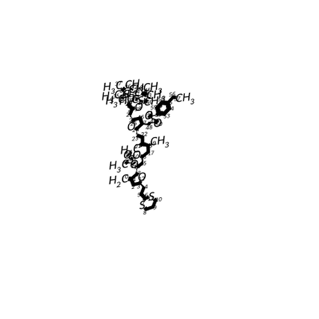 C=C1C[C@H](CCC2SCCCS2)O[C@H]1CC[C@H](C[C@H](C)C(=C)CC[C@@H]1O[C@H](CC(CO[Si](C)(C)C(C)(C)C)O[Si](C)(C)C(C)(C)C)C[C@H]1CS(=O)(=O)c1ccc(CC)cc1)OS(C)(=O)=O